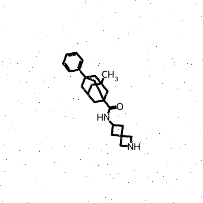 CC12CC3CC(C(=O)NC4CC5(CNC5)C4)(C1)CC(c1ccccc1)(C3)C2